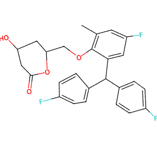 Cc1cc(F)cc(C(c2ccc(F)cc2)c2ccc(F)cc2)c1OCC1CC(O)CC(=O)O1